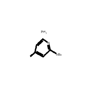 CCCCc1cc(C)ccn1.P